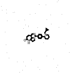 O=C1C=CC2=CN=C(c3ccc(C4CCCCN4CC4CC4)cc3)N3CCC(=C23)N1